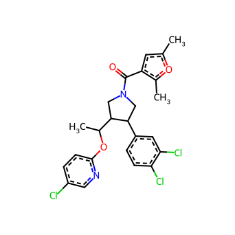 Cc1cc(C(=O)N2CC(c3ccc(Cl)c(Cl)c3)C(C(C)Oc3ccc(Cl)cn3)C2)c(C)o1